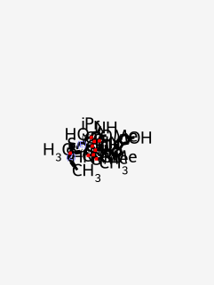 CC#C/C=C\C#C[C@H](OC1OC(C)C(SC)(C(=O)c2nccc3c2[nH]c2ccc(O)cc23)C(O)C1OC1CC(OC)C(NC(C)C)CO1)C1=C(NC(=N)NC)C(=O)C[C@H](O)/C1=C/CS(C)(=S)=S